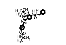 CC(C)NC(=O)OC12CCC(c3ncc(-c4ccc(NC(=O)NCc5ccccc5)cc4[S+]([O-])NC(C)(C)C)s3)(CC1)CC2